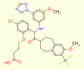 COc1cc(NC(C(=O)C2CCc3cc(OC)c(C(F)(F)F)cc3CC2)c2ccc(Cl)cc2OCCCC(=O)O)cc(-n2cncn2)c1